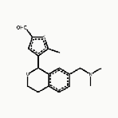 Cc1sc(C=O)cc1C1OCCc2ccc(CN(C)C)cc21